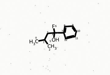 CC(C)CC(O)(F)c1ccccc1